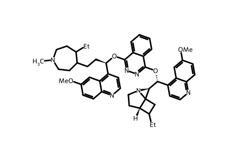 CCC1CCN(C)CCC1CC[C@@H](Oc1nnc(O[C@H](c2ccnc3ccc(OC)cc23)[C@@H]2N3CC[C@H]4C(CC)CC243)c2ccccc12)c1ccnc2ccc(OC)cc12